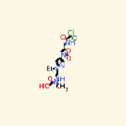 CCN(CCNN(C)C(=O)CO)c1ccc(N2C[C@H](CNC(=O)C(Cl)Cl)OC2=O)cn1